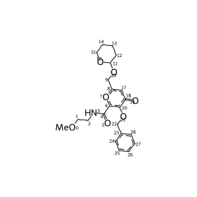 COCCNC(=O)c1oc(COC2CCCCO2)cc(=O)c1OCc1ccccc1